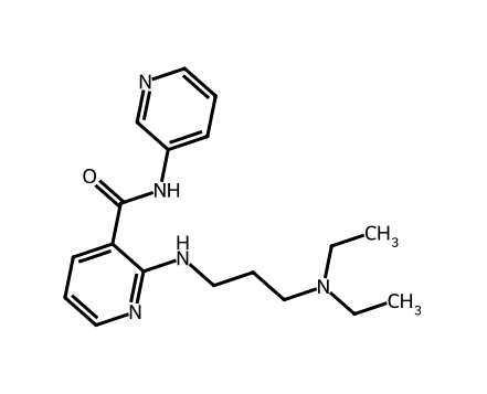 CCN(CC)CCCNc1ncccc1C(=O)Nc1cccnc1